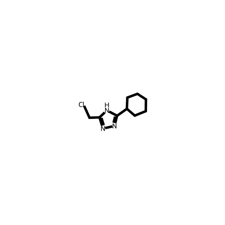 ClCc1nnc(C2CCCCC2)[nH]1